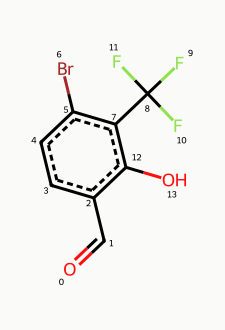 O=Cc1ccc(Br)c(C(F)(F)F)c1O